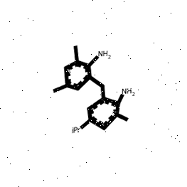 Cc1cc(C)c(N)c(Cc2cc(C(C)C)cc(C)c2N)c1